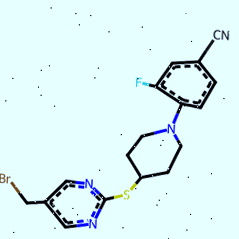 N#Cc1ccc(N2CCC(Sc3ncc(CBr)cn3)CC2)c(F)c1